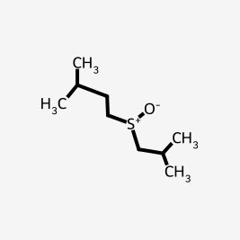 CC(C)CC[S+]([O-])CC(C)C